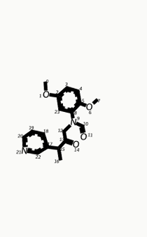 COc1ccc(OC)c(N(C=O)CC(=O)C(C)c2cccnc2)c1